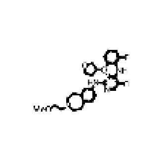 COCCN1CCc2ccc(Nc3ncc(Cl)c(Nc4c(F)cccc4OC4CCOC4)n3)cc2CC1